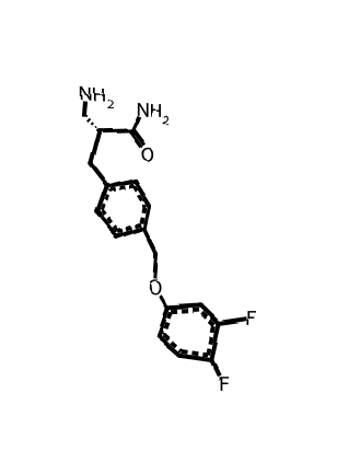 NC[C@@H](Cc1ccc(COc2ccc(F)c(F)c2)cc1)C(N)=O